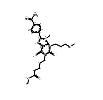 COCCCn1c(=O)n(CCCCC(=O)OC)c(=O)c2nc(-c3ccc(C(=N)N)cc3)n(C)c21